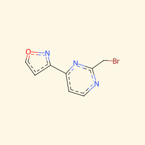 BrCc1nccc(-c2ccon2)n1